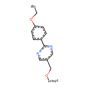 CCCCCCCOCc1cnc(-c2ccc(OCC(C)CC)cc2)nc1